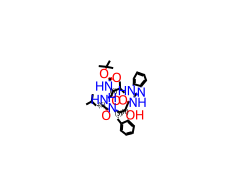 CC(C)C[C@H](NC(=O)[C@@H](NC(=O)OC(C)(C)C)C(C)C)C(=O)N[C@@H](Cc1ccccc1)[C@@H](O)C(=O)Nc1nc2ccccc2[nH]1